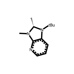 C[C@H]1N(C)c2ncccc2N1C(C)(C)C